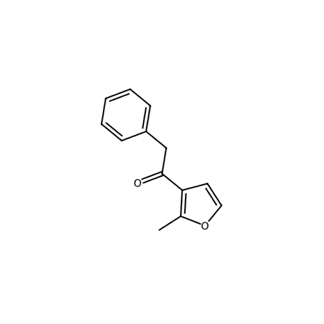 Cc1occc1C(=O)Cc1ccccc1